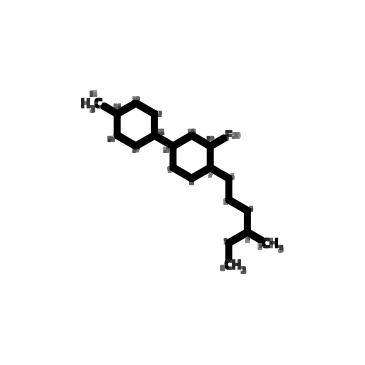 CCC(C)CCCC1CCC(C2CCC(C)CC2)CC1F